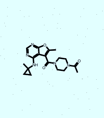 CC(=O)N1CCN(C(=O)c2c(C)oc3ncnc(NC4(C)CC4)c23)CC1